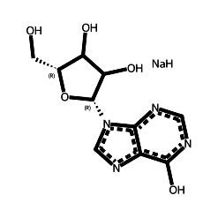 OC[C@H]1O[C@@H](n2cnc3c(O)ncnc32)C(O)C1O.[NaH]